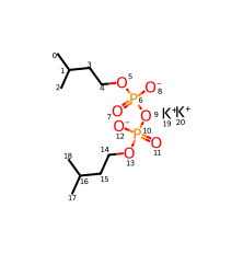 CC(C)CCOP(=O)([O-])OP(=O)([O-])OCCC(C)C.[K+].[K+]